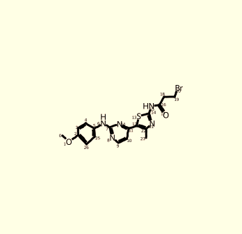 COc1ccc(Nc2nccc(-c3sc(NC(=O)CCBr)nc3C)n2)cc1